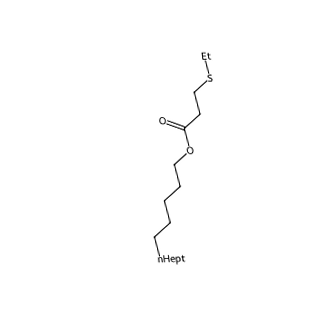 CCCCCCCCCCCCOC(=O)CCSCC